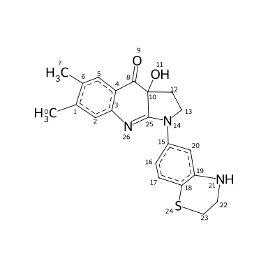 Cc1cc2c(cc1C)C(=O)C1(O)CCN(c3ccc4c(c3)NCCS4)C1=N2